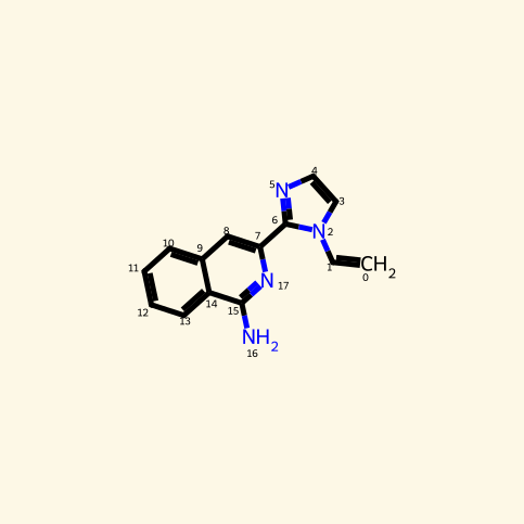 C=Cn1ccnc1-c1cc2ccccc2c(N)n1